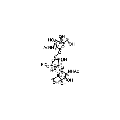 CCO[C@@H]1O[C@H](CO[C@@H]2O[C@H](CO)[C@@H](O)[C@H](O)[C@H]2NC(C)=O)[C@H](O)[C@H](O[C@@H]2O[C@H](CO)[C@@H](O)[C@H](O)[C@H]2NC(C)=O)[C@H]1O